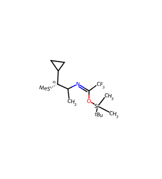 CS[C@H](C1CC1)C(C)N=C(O[Si](C)(C)C(C)(C)C)C(F)(F)F